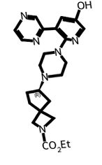 CCOC(=O)N1CC2(CC[C@@H](N3CCN(c4ncc(O)cc4-c4cnccn4)CC3)C2)C1